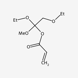 C=CC(=O)OC(COCC)(OC)OCC